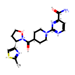 N#Cc1nc([C@@H]2CCON2C(=O)C2CCN(c3nccc(C(N)=O)n3)CC2)cs1